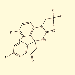 C=CCC1(c2ccc(F)cc2)NC(=O)N(CC(F)(F)F)c2ccc(F)c(F)c21